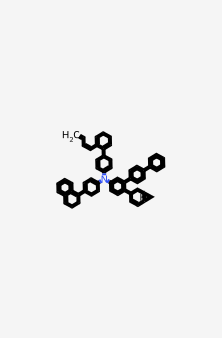 C=C/C=C\C1=CCCC=C1C1C=CC(N(C2=CC=C(C3=c4ccccc4=CCC3)CC2)c2ccc(C3C=CC4C[C@H]4C3)c(-c3ccc(-c4ccccc4)cc3)c2)=CC1